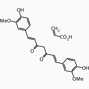 C=CC(=O)O.COc1cc(/C=C/C(=O)CC(=O)/C=C/c2ccc(O)c(OC)c2)ccc1O